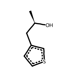 C[C@@H](O)Cc1ccsc1